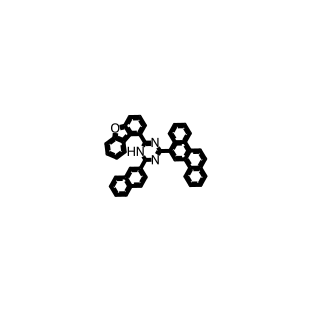 c1ccc2cc(C3N=C(c4cc5c6ccccc6ccc5c5ccccc45)N=C(c4cccc5oc6ccccc6c45)N3)ccc2c1